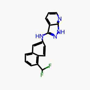 FC(F)c1cccc2cc(Nc3n[nH]c4ncccc34)ccc12